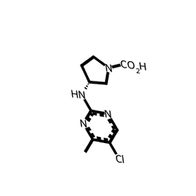 Cc1nc(N[C@@H]2CCN(C(=O)O)C2)ncc1Cl